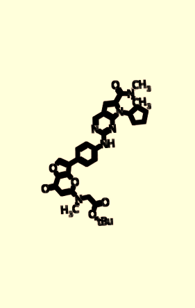 CN(C)C(=O)c1cc2cnc(Nc3ccc(-c4coc5c(=O)cc(N(C)CC(=O)OC(C)(C)C)oc45)cc3)nc2n1C1CCCC1